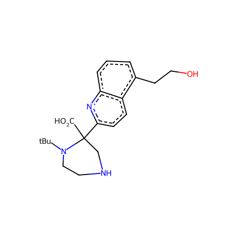 CC(C)(C)N1CCNCC1(C(=O)O)c1ccc2c(CCO)cccc2n1